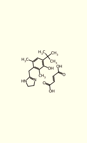 Cc1cc(C(C)(C)C)c(O)c(C)c1CC1=NCCN1.O=C(O)C=CC(=O)O